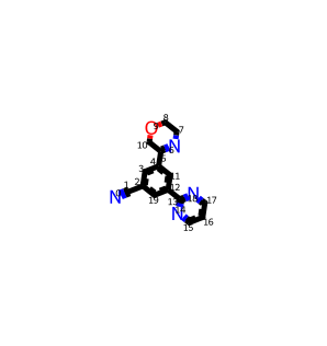 N#Cc1cc(C2=NCCOC2)cc(-c2ncccn2)c1